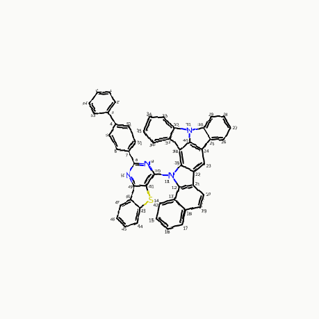 c1ccc(-c2ccc(-c3nc(-n4c5c6ccccc6ccc5c5cc6c7ccccc7n7c8ccccc8c(c54)c67)c4sc5ccccc5c4n3)cc2)cc1